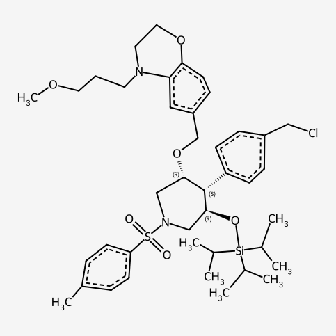 COCCCN1CCOc2ccc(CO[C@H]3CN(S(=O)(=O)c4ccc(C)cc4)C[C@H](O[Si](C(C)C)(C(C)C)C(C)C)[C@H]3c3ccc(CCl)cc3)cc21